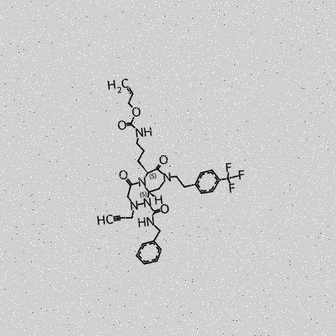 C#CCN1CC(=O)N2[C@@H](CCCNC(=O)OCC=C)C(=O)N(CCc3ccc(C(F)(F)F)cc3)C[C@@H]2N1C(=O)NCc1ccccc1